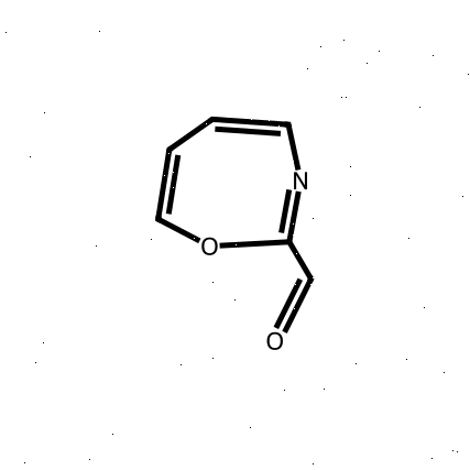 O=CC1=NC=CC=CO1